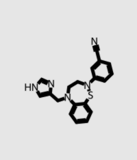 N#Cc1cccc(N2CCN(Cc3c[nH]cn3)c3ccccc3S2)c1